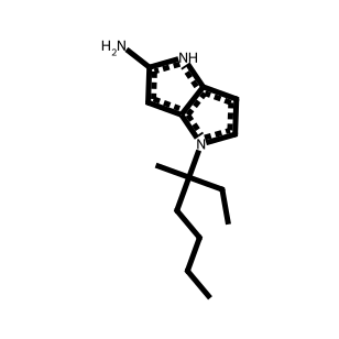 CCCCC(C)(CC)n1ccc2[nH]c(N)cc21